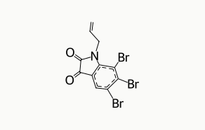 C=CCN1C(=O)C(=O)c2cc(Br)c(Br)c(Br)c21